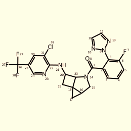 O=C(c1cccc(F)c1-n1nccn1)N1CC2CC23CC(Nc2ncc(C(F)(F)F)cc2Cl)C13